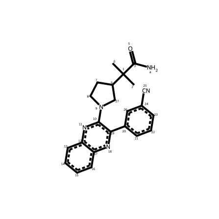 CC(C)(C(N)=O)C1CCN(c2nc3ccccc3nc2-c2cccc(C#N)c2)C1